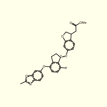 COC(=O)CC1COc2cc(O[C@@H]3CCc4c(Oc5ccc6nc(C)oc6c5)ccc(F)c43)ccc21